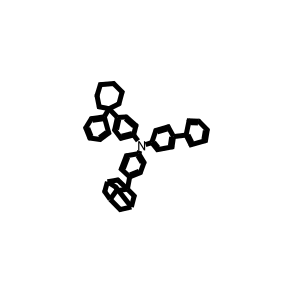 c1ccc(-c2ccc(N(c3ccc(C45CC6CC(CC(C6)C4)C5)cc3)c3ccc(C4(c5ccccc5)CCCCCC4)cc3)cc2)cc1